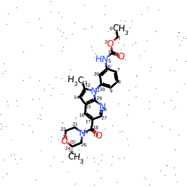 CCOC(=O)Nc1cccc(-n2c(C)cc3cc(C(=O)N4CCO[C@@H](C)C4)cnc32)c1